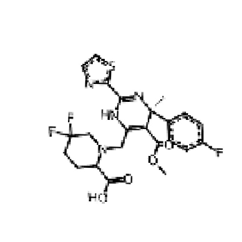 COC(=O)C1=C(CN2CC(F)(F)CCC2C(=O)O)NC(c2nccs2)=N[C@@]1(C)c1ccc(F)cc1